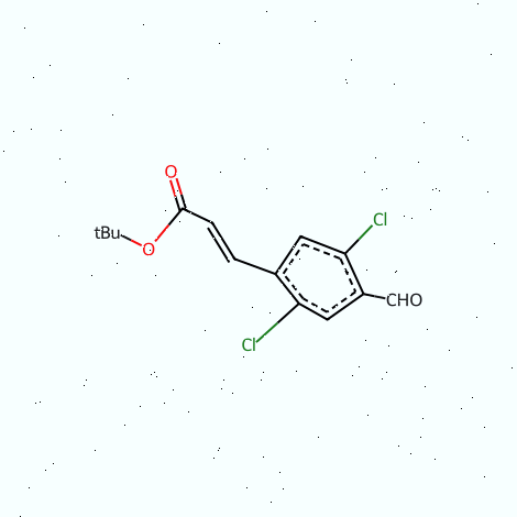 CC(C)(C)OC(=O)C=Cc1cc(Cl)c(C=O)cc1Cl